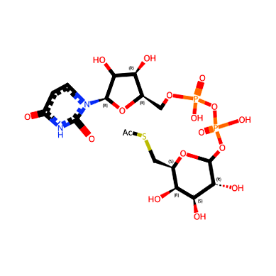 CC(=O)SC[C@H]1OC(OP(=O)(O)OP(=O)(O)OC[C@H]2O[C@@H](n3ccc(=O)[nH]c3=O)C(O)[C@H]2O)[C@H](O)[C@@H](O)[C@H]1O